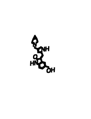 O=C1Nc2ccc(CO)cc2C1=Cc1cc(CN2CC3CC3C2)c[nH]1